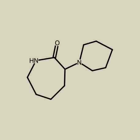 O=C1NCCCCC1N1CCCCC1